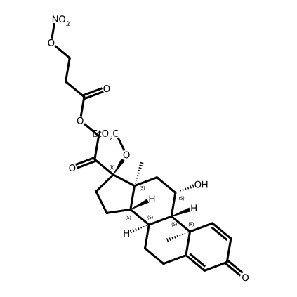 CCOC(=O)O[C@]1(C(=O)COC(=O)CCO[N+](=O)[O-])CC[C@H]2[C@@H]3CCC4=CC(=O)C=C[C@]4(C)[C@H]3[C@@H](O)C[C@@]21C